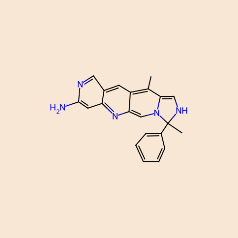 CC1=c2cc3cnc(N)cc3nc2=CN2C1=CNC2(C)c1ccccc1